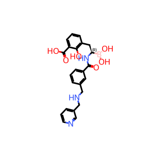 O=C(N[C@@H](Cc1cccc(C(=O)O)c1O)B(O)O)c1cccc(CNCc2cccnc2)c1